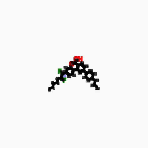 CCCCC/C(F)=C(\F)c1ccc(-c2cc(C3CCC(CCC)CC3)ccc2C(=O)O)cc1